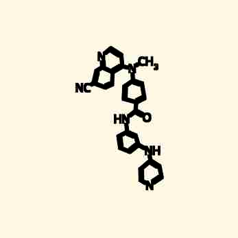 CN(c1ccc(C(=O)Nc2cccc(Nc3ccncc3)c2)cc1)c1ccnc2cc(C#N)ccc12